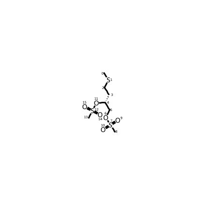 CSCC[C@H](COS(C)(=O)=O)OS(C)(=O)=O